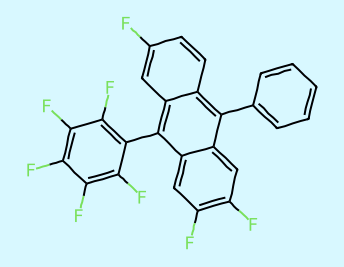 Fc1ccc2c(-c3ccccc3)c3cc(F)c(F)cc3c(-c3c(F)c(F)c(F)c(F)c3F)c2c1